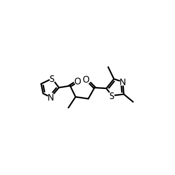 Cc1nc(C)c(C(=O)CC(C)C(=O)c2nccs2)s1